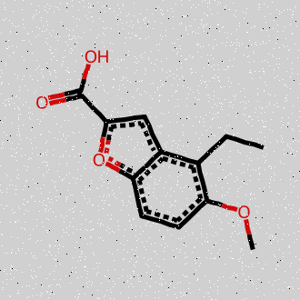 CCc1c(OC)ccc2oc(C(=O)O)cc12